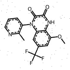 COc1cc(C(F)(F)F)cc2c1[nH]c(=O)c(=O)n2-c1cccnc1C